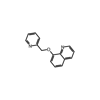 c1ccc(COc2cccc3cccnc23)nc1